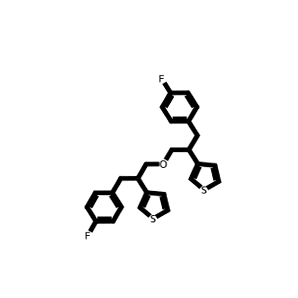 Fc1ccc(CC(COCC(Cc2ccc(F)cc2)c2ccsc2)c2ccsc2)cc1